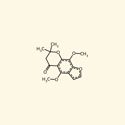 COc1c2c(c(OC)c3occc13)OC(C)(C)CC2=O